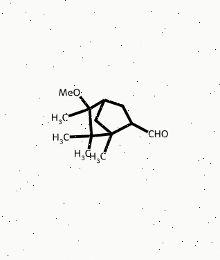 COC1(C)C2CC(C=O)C(C)(C2)C1(C)C